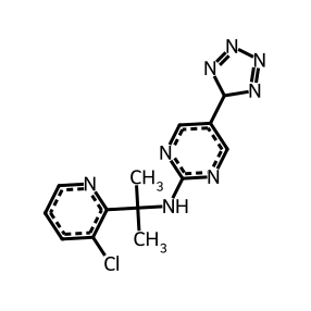 CC(C)(Nc1ncc(C2N=NN=N2)cn1)c1ncccc1Cl